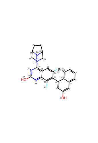 CCc1cccc2cc(O)cc(-c3c(F)cc4c(N5CC6CCC(C5)N6)nc(O)nc4c3F)c12